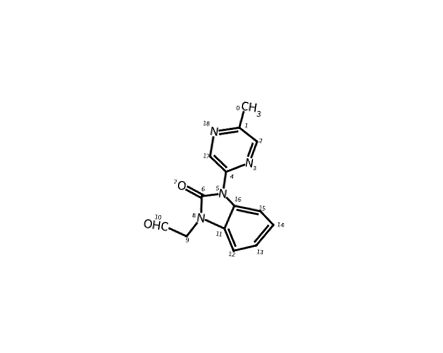 Cc1cnc(-n2c(=O)n(CC=O)c3ccccc32)cn1